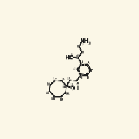 NCCC(O)c1cccc(CCC2(O)CCCCCCC2)c1